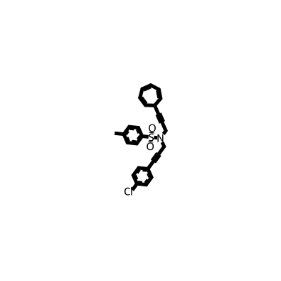 Cc1ccc(S(=O)(=O)N(CC#Cc2ccc(Cl)cc2)CC#CC2C=CC=CC=C2)cc1